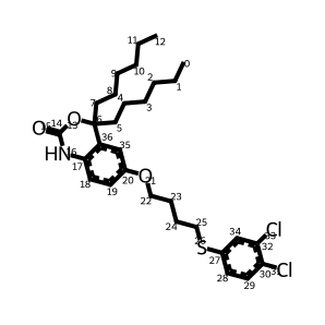 CCCCCCC1(CCCCCC)OC(=O)Nc2ccc(OCCCCSc3ccc(Cl)c(Cl)c3)cc21